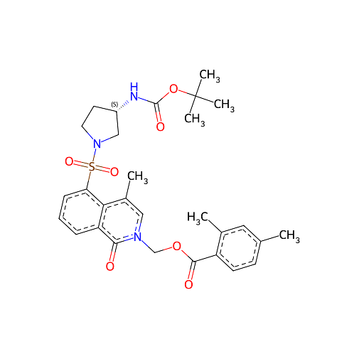 Cc1ccc(C(=O)OCn2cc(C)c3c(S(=O)(=O)N4CC[C@H](NC(=O)OC(C)(C)C)C4)cccc3c2=O)c(C)c1